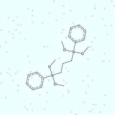 CO[Si](CCC[Si](OC)(OC)c1ccccc1)(OC)c1ccccc1